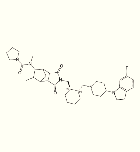 CC1C2CC(C3C(=O)N(C[C@@H]4CCCC[C@H]4CN4CCC(N5CCc6ccc(F)cc65)CC4)C(=O)C23)C1N(C)C(=O)N1CCCC1